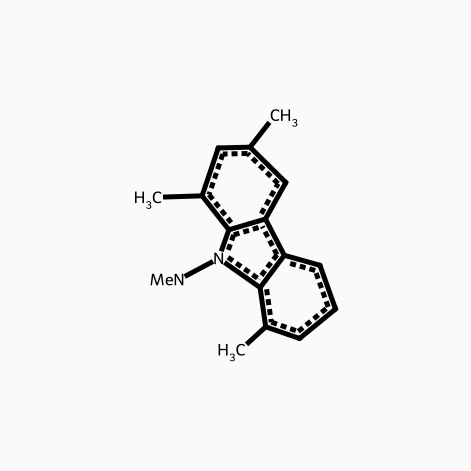 CNn1c2c(C)cccc2c2cc(C)cc(C)c21